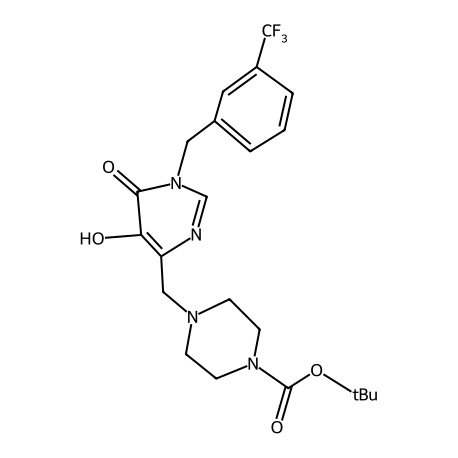 CC(C)(C)OC(=O)N1CCN(Cc2ncn(Cc3cccc(C(F)(F)F)c3)c(=O)c2O)CC1